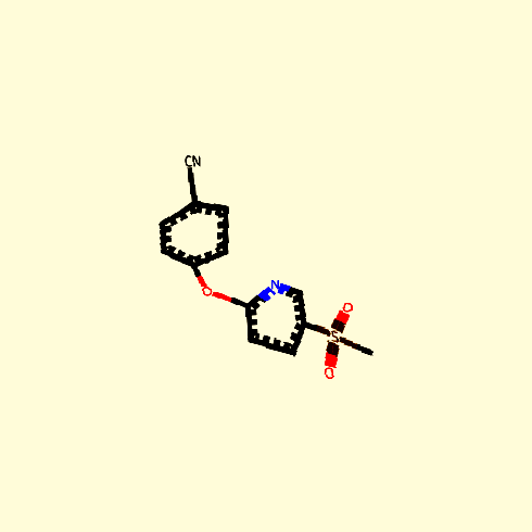 CS(=O)(=O)c1ccc(Oc2ccc(C#N)cc2)nc1